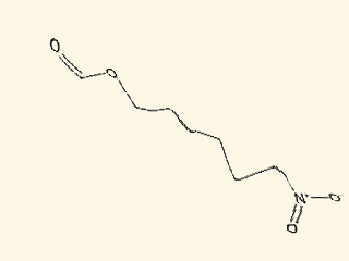 O=COCCCCCC[N+](=O)[O-]